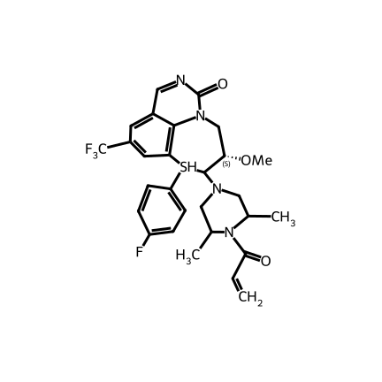 C=CC(=O)N1C(C)CN(C2[C@@H](OC)Cn3c(=O)ncc4cc(C(F)(F)F)cc(c43)[SH]2c2ccc(F)cc2)CC1C